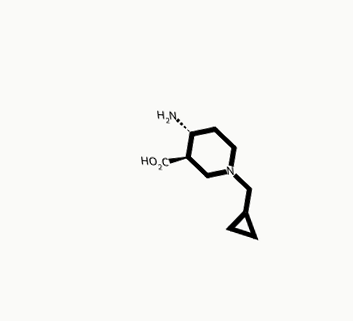 N[C@@H]1CCN(CC2CC2)C[C@H]1C(=O)O